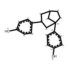 Oc1ccc(C2CC3CCC(c4ccc(O)cc4)(C3)C2)cc1